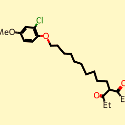 CCC(=O)C(CCCCCCCCCCOc1ccc(OC)cc1Cl)C(=O)CC